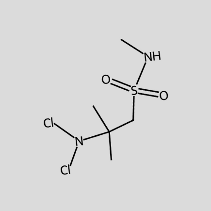 CNS(=O)(=O)CC(C)(C)N(Cl)Cl